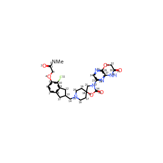 CNC(=O)COc1ccc2c(c1F)CC(CN1CCC3(CC1)CN(c1cnc4c(n1)NC(=O)CO4)C(=O)O3)C2